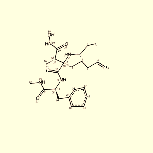 CCCN[C@@](CCCC=O)(C(=O)N[C@@H](Cc1ccccc1)C(=O)NC)[C@H](C)C(=O)NO